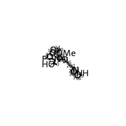 C=C(O)C(c1cc(F)cc2c1C[C@@H](C(C)(C)OC)OC2)N1CC[C@@H](OCCCCc2ccc3c(n2)NCCC3)C1